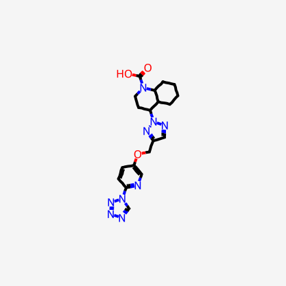 O=C(O)N1CCC(n2ncc(COc3ccc(-n4cnnn4)nc3)n2)C2CCCCC21